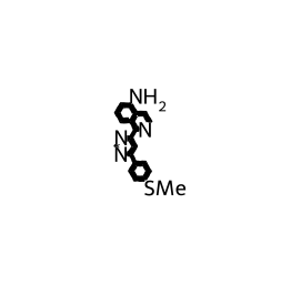 CSc1ccc(-c2cc(-c3nccc4c(N)cccc34)ncn2)cc1